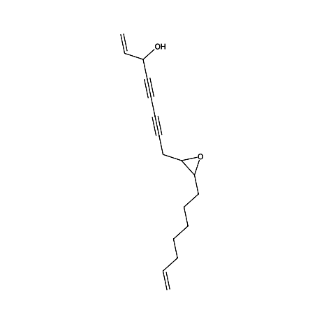 C=CCCCCCC1OC1CC#CC#CC(O)C=C